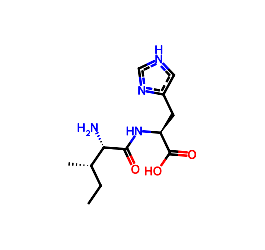 CC[C@H](C)[C@H](N)C(=O)N[C@@H](Cc1c[nH]cn1)C(=O)O